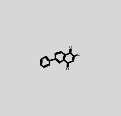 O=C1C=C(Cl)C(=O)c2ccc(-c3ccccc3)cc21